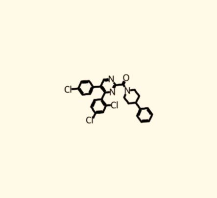 O=C(c1ncc(-c2ccc(Cl)cc2)c(-c2ccc(Cl)cc2Cl)n1)N1CCC(c2ccccc2)CC1